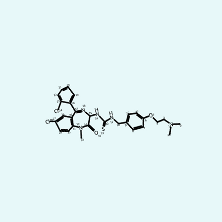 CN(C)CCOc1ccc(CNC(=S)NC2N=C(c3ccccc3Cl)c3cc(Cl)ccc3N(C)C2=O)cc1